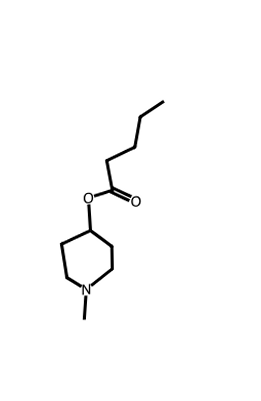 CCCCC(=O)OC1CCN(C)CC1